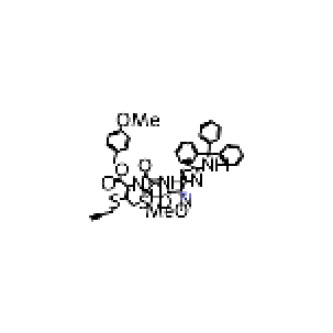 C#CCSC1=C(C(=O)OCc2ccc(OC)cc2)N2C(=O)[C@@H](NC(=O)/C(=N\OC)c3csc(NC(c4ccccc4)(c4ccccc4)c4ccccc4)n3)[C@@H]2SC1